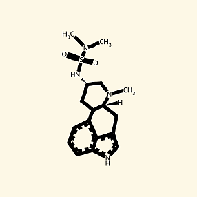 CN1C[C@@H](NS(=O)(=O)N(C)C)CC2c3cccc4[nH]cc(c34)C[C@H]21